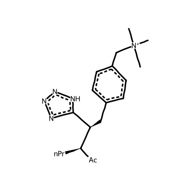 CCC[C@H](C(C)=O)[C@H](Cc1ccc(C[N+](C)(C)C)cc1)c1nnn[nH]1